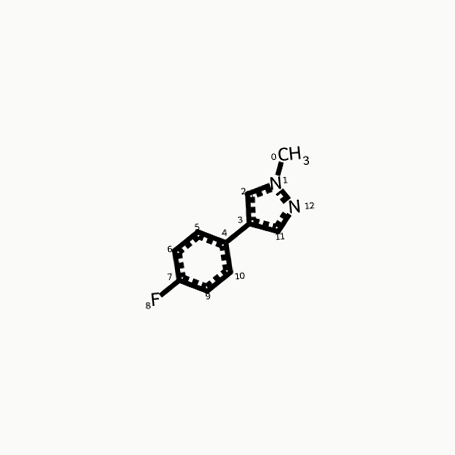 Cn1[c]c(-c2ccc(F)cc2)cn1